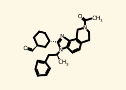 CC(=O)N1CCc2ccc3c(nc([C@H]4CCC[C@H](C=O)C4)n3[C@@H](C)Cc3ccccc3)c2C1